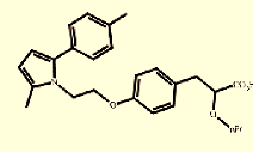 CCCOC(Cc1ccc(OCCn2c(C)ccc2-c2ccc(C)cc2)cc1)C(=O)O